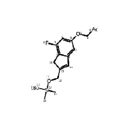 CC(=O)COc1cc(F)c2c(c1)C=C(CO[Si](C)(C)C(C)(C)C)C2